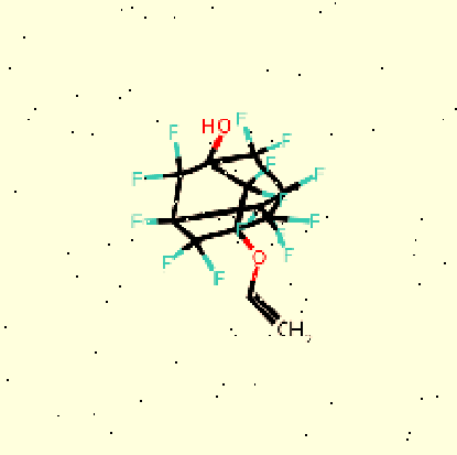 C=COC12C(F)(F)C3(O)C(F)(F)C(F)(C(F)(F)C(F)(C3(F)F)C1(F)F)C2(F)F